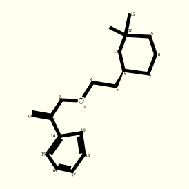 C=C(COCC[C@@H]1CCCC(C)(C)C1)c1ccccc1